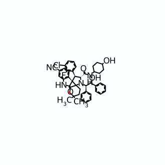 CC1(C)CCC2(CC1)N([C@H](c1ccccc1)[C@@H](O)c1ccccc1)[C@@H](C(=O)NC1CCC(O)CC1)[C@H](c1cccc(Cl)c1F)[C@@]21C(=O)Nc2cc(C#N)ccc21